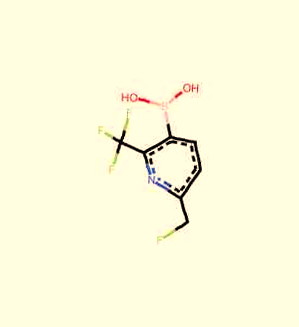 OB(O)c1ccc(CF)nc1C(F)(F)F